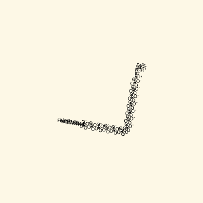 O.O=P([O-])([O-])[O-].O=P([O-])([O-])[O-].O=P([O-])([O-])[O-].O=P([O-])([O-])[O-].O=P([O-])([O-])[O-].O=P([O-])([O-])[O-].O=P([O-])([O-])[O-].O=P([O-])([O-])[O-].O=P([O-])([O-])[O-].O=P([O-])([O-])[O-].O=P([O-])([O-])[O-].O=P([O-])([O-])[O-].O=P([O-])([O-])[O-].[Al+3].[Al+3].[Al+3].[Cr+3].[Cr+3].[Cr+3].[Fe+3].[Fe+3].[Fe+3].[K+].[K+].[K+].[Mn+2].[Mn+2].[Mn+2].[Na+].[Na+].[Na+]